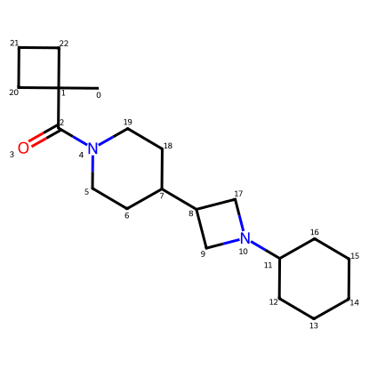 CC1(C(=O)N2CCC(C3CN(C4CCCCC4)C3)CC2)CCC1